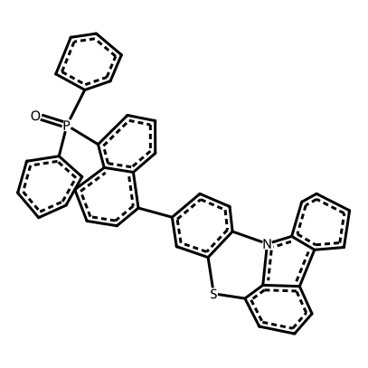 O=P(c1ccccc1)(c1ccccc1)c1cccc2c(-c3ccc4c(c3)Sc3cccc5c6ccccc6n-4c35)cccc12